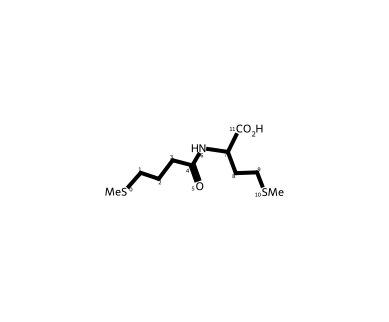 CSCCCC(=O)NC(CCSC)C(=O)O